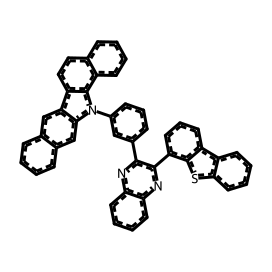 c1cc(-c2nc3ccccc3nc2-c2cccc3c2sc2ccccc23)cc(-n2c3cc4ccccc4cc3c3ccc4ccccc4c32)c1